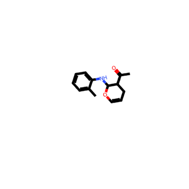 CC(=O)C1CC=COC1Nc1ccccc1C